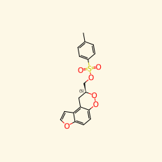 Cc1ccc(S(=O)(=O)OC[C@@H]2Cc3c(ccc4occc34)OO2)cc1